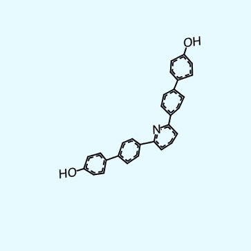 Oc1ccc(-c2ccc(-c3cccc(-c4ccc(-c5ccc(O)cc5)cc4)n3)cc2)cc1